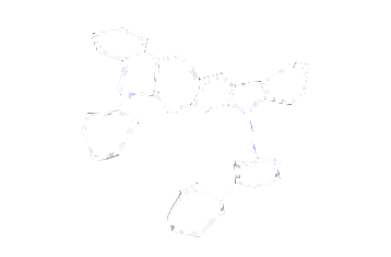 c1ccc(-c2ccnc(-n3c4ccccc4c4cc5cc6c7ccccc7n(-c7ccccc7)c6cc5cc43)c2)cc1